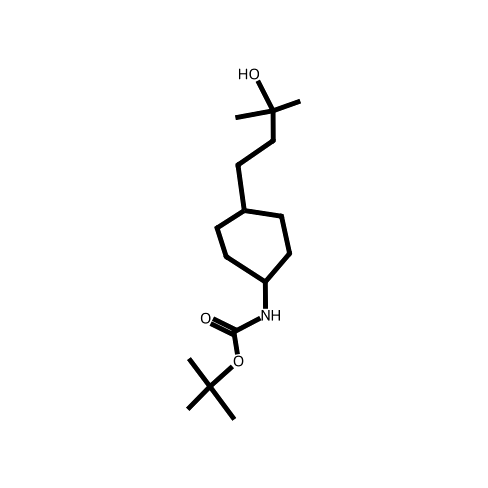 CC(C)(O)CCC1CCC(NC(=O)OC(C)(C)C)CC1